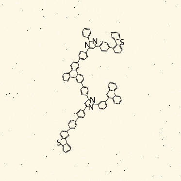 c1ccc(-c2nc(-c3ccc(-c4ccc5c6ccccc6c6cc(-c7ccc(-c8cc(-c9ccc(-c%10ccc(-c%11ccc%12sc%13ccccc%13c%12c%11)cc%10)cc9)nc(-c9cccc(-c%10cc%11ccccc%11c%11ccccc%10%11)c9)n8)cc7)ccc6c5c4)cc3)cc(-c3ccc(-c4cccc5sc6ccccc6c45)cc3)n2)cc1